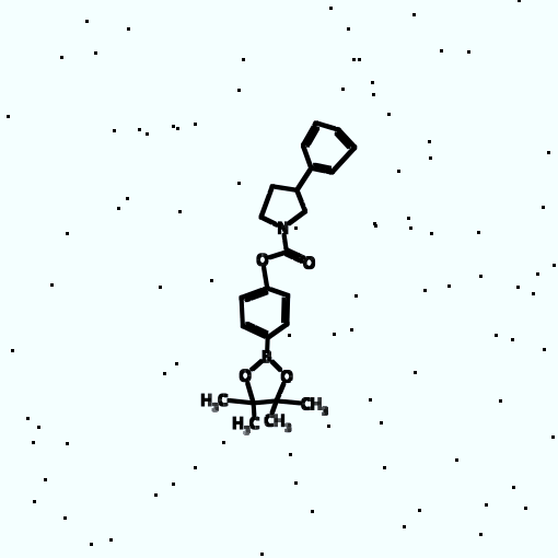 CC1(C)OB(c2ccc(OC(=O)N3CCC(c4ccccc4)C3)cc2)OC1(C)C